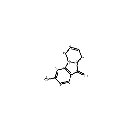 O=c1c2ccc(Cl)nc2n2n1CC=CC2